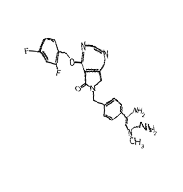 CN(N)/C=C(\N)c1ccc(CN2Cc3ncnc(OCc4ccc(F)cc4F)c3C2=O)cc1